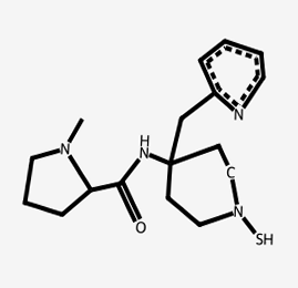 CN1CCCC1C(=O)NC1(Cc2ccccn2)CCN(S)CC1